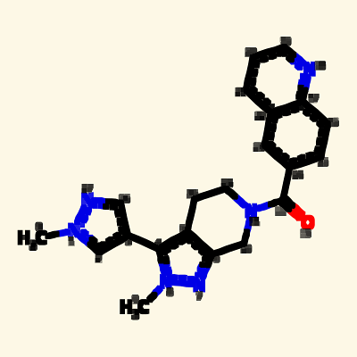 Cn1cc(-c2c3c(nn2C)CN(C(=O)c2ccc4ncccc4c2)CC3)cn1